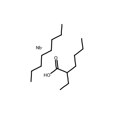 CCCCC(CC)C(=O)O.CCCCCCCC.[Nb]